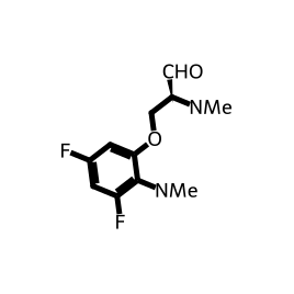 CNc1c(F)cc(F)cc1OC[C@@H](C=O)NC